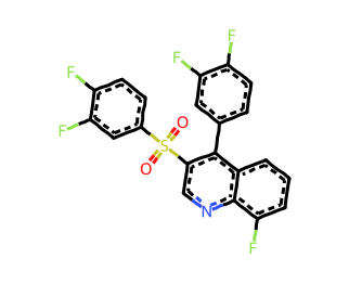 O=S(=O)(c1ccc(F)c(F)c1)c1cnc2c(F)cccc2c1-c1ccc(F)c(F)c1